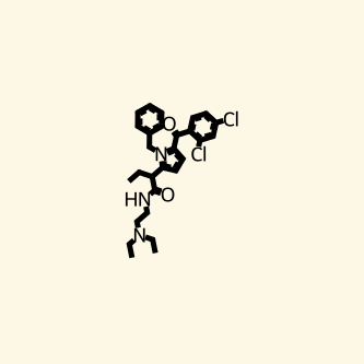 CCC(C(=O)NCCN(CC)CC)c1ccc(C(=O)c2ccc(Cl)cc2Cl)n1Cc1ccccc1